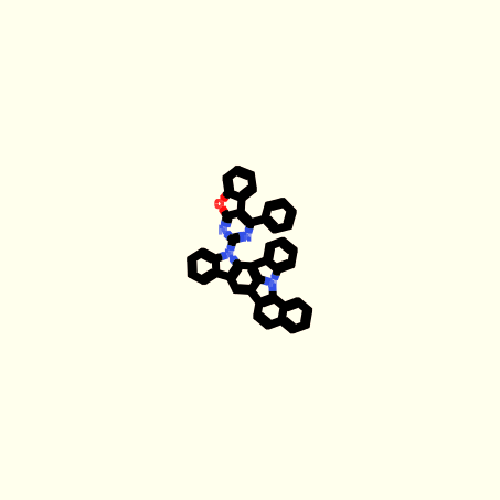 c1ccc(-c2nc(-n3c4ccccc4c4cc5c6ccc7ccccc7c6n6c7ccccc7c(c43)c56)nc3oc4ccccc4c23)cc1